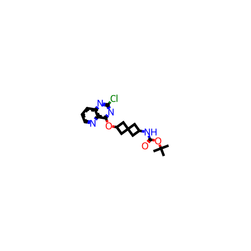 CC(C)(C)OC(=O)NC1CC2(C1)CC(Oc1nc(Cl)nc3cccnc13)C2